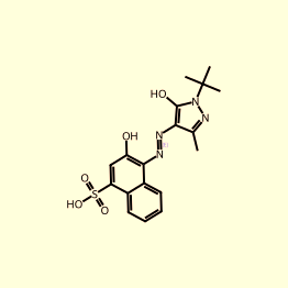 Cc1nn(C(C)(C)C)c(O)c1/N=N/c1c(O)cc(S(=O)(=O)O)c2ccccc12